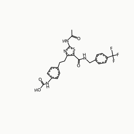 CC(=O)Nc1nc(CCc2ccc(NC(=O)O)cc2)c(C(=O)NCc2ccc(C(F)(F)F)cc2)s1